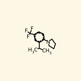 CC(C)c1cc(C(F)(F)F)ccc1N1CCCC1